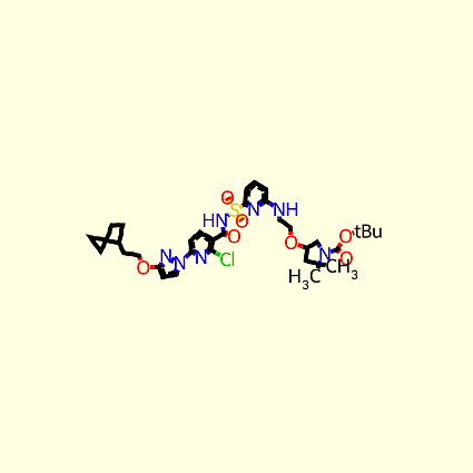 CC(C)(C)OC(=O)N1CC(OCCNc2cccc(S(=O)(=O)NC(=O)c3ccc(-n4ccc(OCCC5CCC56CC6)n4)nc3Cl)n2)CC1(C)C